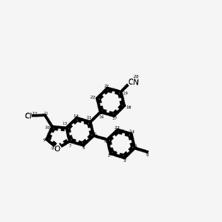 Cc1ccc(-c2cc3occ(CCl)c3cc2-c2ccc(C#N)cc2)cc1